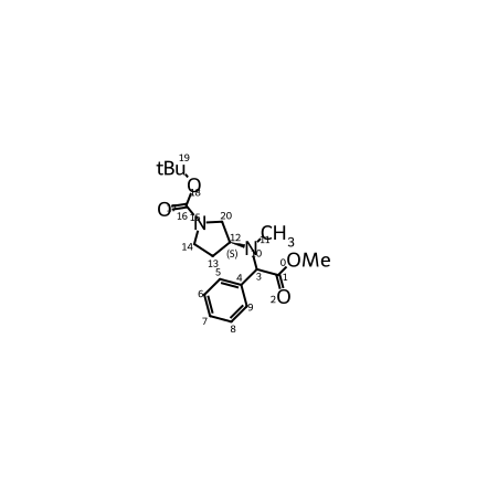 COC(=O)C(c1ccccc1)N(C)[C@H]1CCN(C(=O)OC(C)(C)C)C1